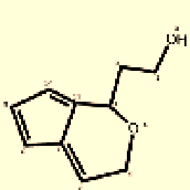 OCCC1OCC=C2C=CC=C21